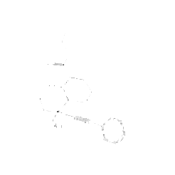 CCOC(=O)N1CCCC2C1CCCC2(O)C#Cc1cccc(Cl)c1